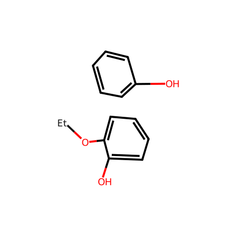 CCOc1ccccc1O.Oc1ccccc1